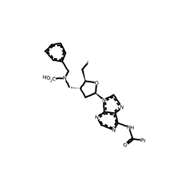 CC(C)C(=O)Nc1ncnc2c1ncn2[C@H]1C[C@H](CN(Cc2ccccc2)C(=O)O)[C@@H](CI)O1